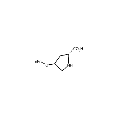 CCCO[C@@H]1CN[C@@H](C(=O)O)C1